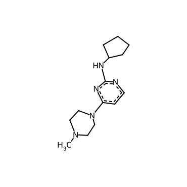 CN1CCN(c2ccnc(NC3CCCC3)n2)CC1